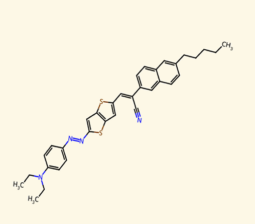 CCCCCc1ccc2cc(/C(C#N)=C/c3cc4sc(/N=N/c5ccc(N(CC)CC)cc5)cc4s3)ccc2c1